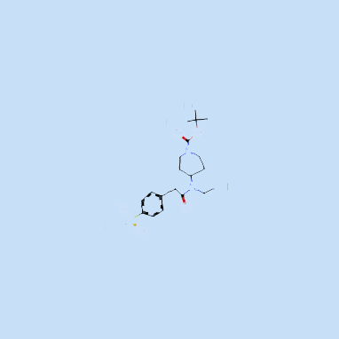 CCN(C(=O)Cc1ccc(S(C)(=O)=O)cc1)C1CCN(C(=O)OC(C)(C)C)CC1